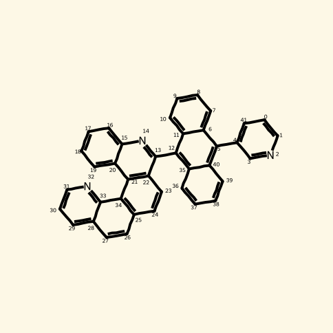 c1cncc(-c2c3ccccc3c(-c3nc4ccccc4c4c3ccc3ccc5cccnc5c34)c3ccccc23)c1